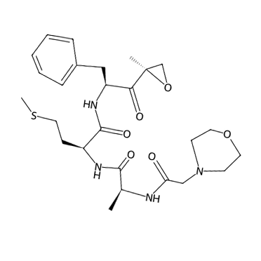 CSCC[C@H](NC(=O)[C@H](C)NC(=O)CN1CCOCC1)C(=O)N[C@@H](Cc1ccccc1)C(=O)[C@@]1(C)CO1